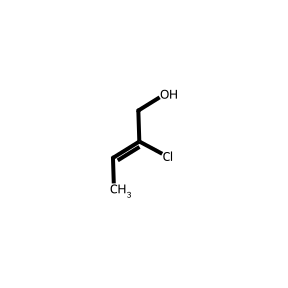 C/C=C(\Cl)CO